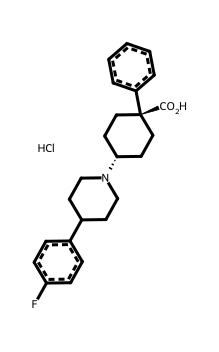 Cl.O=C(O)[C@]1(c2ccccc2)CC[C@@H](N2CCC(c3ccc(F)cc3)CC2)CC1